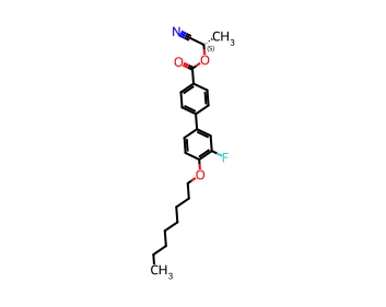 CCCCCCCCOc1ccc(-c2ccc(C(=O)O[C@@H](C)C#N)cc2)cc1F